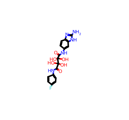 Nc1nc2ccc(NC(=O)C(O)(O)C(O)(O)C(=O)Nc3ccc(F)cc3)cc2[nH]1